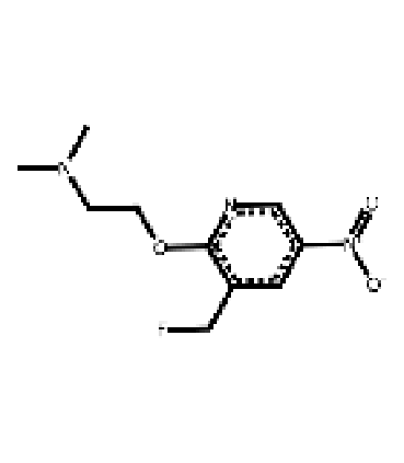 CN(C)CCOc1ncc([N+](=O)[O-])cc1CF